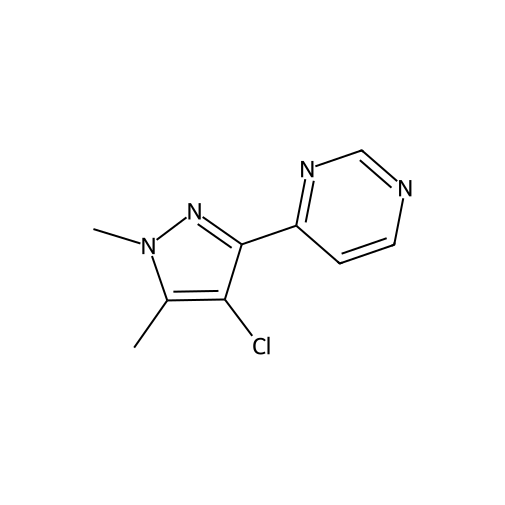 Cc1c(Cl)c(-c2ccncn2)nn1C